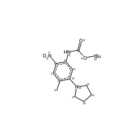 Cc1cc([N+](=O)[O-])c(NC(=O)OC(C)(C)C)cc1N1CCCC1